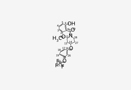 COc1cccc(O)c1C(=O)N1CCC(Oc2cccc(OC(F)(F)F)c2)CC1